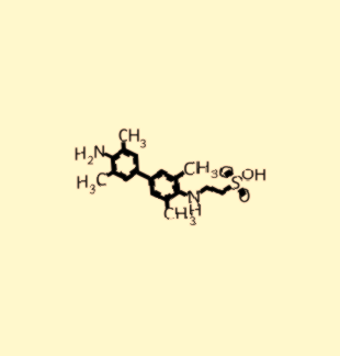 Cc1cc(-c2cc(C)c(NCCS(=O)(=O)O)c(C)c2)cc(C)c1N